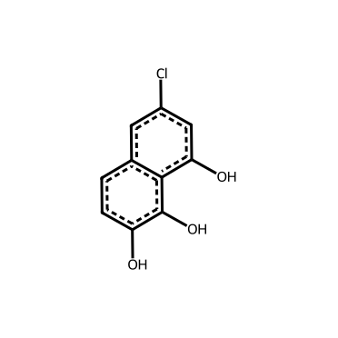 Oc1ccc2cc(Cl)cc(O)c2c1O